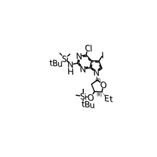 CC[C@H]1O[C@@H](n2cc(I)c3c(Cl)nc(N[Si](C)(C)C(C)(C)C)nc32)CC1O[Si](C)(C)C(C)(C)C